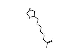 C=C(C)CSCCSCC1CSCS1